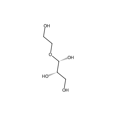 OCCO[C@H](O)[C@@H](O)CO